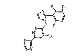 CCc1cc(-c2nccs2)nnc1Cn1ccnc1-c1c(F)ccc(Cl)c1F